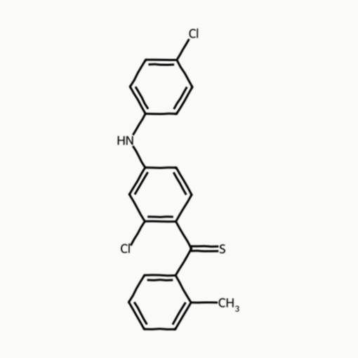 Cc1ccccc1C(=S)c1ccc(Nc2ccc(Cl)cc2)cc1Cl